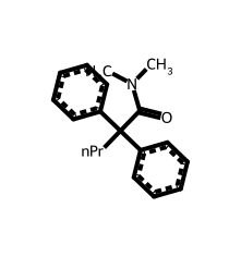 CCCC(C(=O)N(C)C)(c1ccccc1)c1ccccc1